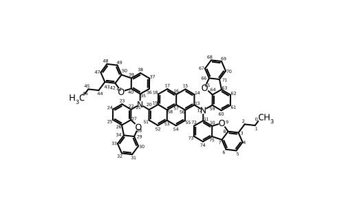 CCCc1cccc2c1oc1c(N(c3ccc4ccc5c(N(c6cccc7c6oc6ccccc67)c6cccc7c6oc6c(CCC)cccc67)ccc6ccc3c4c65)c3cccc4c3oc3ccccc34)cccc12